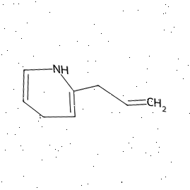 C=CCC1=C[C]C=CN1